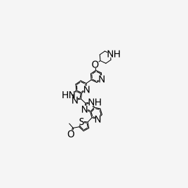 CC(=O)c1ccc(-c2nccc3[nH]c(-c4n[nH]c5ccc(-c6cncc(OC7CCNCC7)c6)nc45)nc23)s1